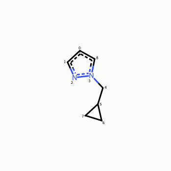 [c]1cnn(CC2CC2)c1